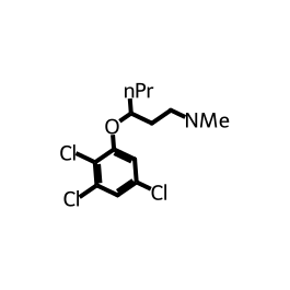 CCCC(CCNC)Oc1cc(Cl)cc(Cl)c1Cl